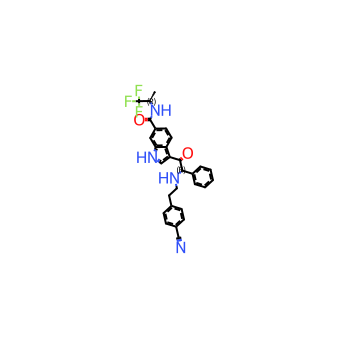 C[C@@H](NC(=O)c1ccc2c(C(=O)[C@H](NCCc3ccc(C#N)cc3)c3ccccc3)c[nH]c2c1)C(F)(F)F